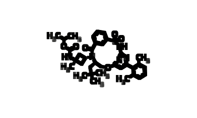 Cc1cccc(C)c1-c1cc2nc(n1)NS(=O)(=O)c1cccc(c1)C(=O)N([C@H]1C[C@](C)(NC(=O)OC(C)C)C1)[C@H](CC(C)(C)C)CO2